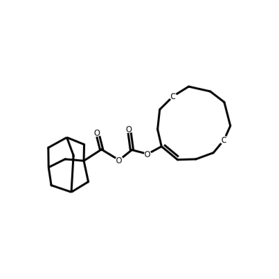 O=C(OC(=O)C12CC3CC(CC(C3)C1)C2)OC1=CCCCCCCCCCC1